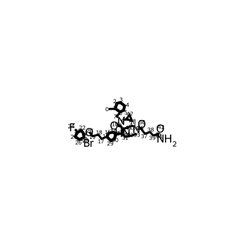 Cc1ccccc1CN(C(=O)C1=C(c2ccc(CCCOc3cc(F)ccc3Br)cc2)CC2CN(C(=O)CCCC(N)=O)CC1N2)C1CC1